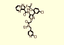 CCN(Cc1ccnc(Cl)c1)C(=O)Cn1cc(NC(=O)c2cnn3cccnc23)c(-c2cc(Cl)ccc2OC(F)F)n1